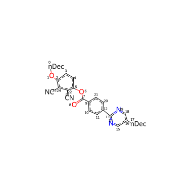 CCCCCCCCCCOc1ccc(OC(=O)c2ccc(-c3ncc(CCCCCCCCCC)cn3)cc2)c(C#N)c1C#N